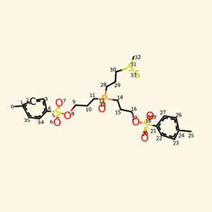 Cc1ccc(S(=O)(=O)OCCCP(=O)(CCCOS(=O)(=O)c2ccc(C)cc2)CCCS(C)=S)cc1